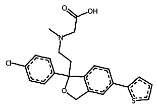 CN(CCC1(c2ccc(Cl)cc2)OCc2cc(-c3cccs3)ccc21)CC(=O)O